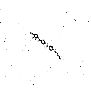 CCCCCCO[C@H]1CC[C@H](C(=O)Oc2ccc(C(=O)Oc3ccc(C#N)c(F)c3F)cc2)CC1